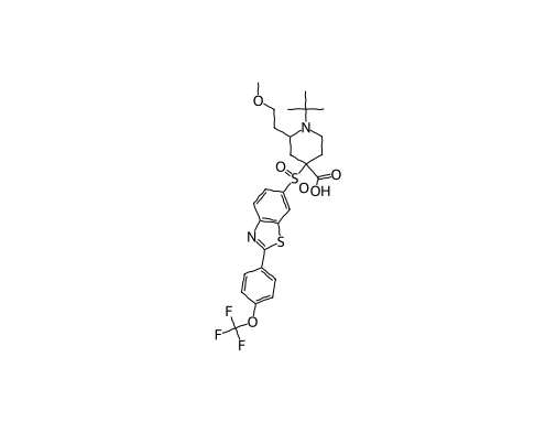 COCCC1CC(C(=O)O)(S(=O)(=O)c2ccc3nc(-c4ccc(OC(F)(F)F)cc4)sc3c2)CCN1C(C)(C)C